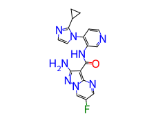 Nc1nn2cc(F)cnc2c1C(=O)Nc1cnccc1-n1ccnc1C1CC1